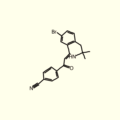 CC1(C)Cc2ccc(Br)cc2/C(=C/C(=O)c2ccc(C#N)cc2)N1